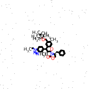 CCn1nnc2c(C)c(C(c3ccc(C)c(CO[Si](C)(C)C(C)(C)C)c3)C(C)C(=O)N3C(=O)OC[C@@H]3Cc3ccccc3)ccc21